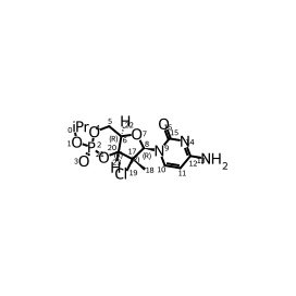 CC(C)OP1(=O)OC[C@H]2O[C@@H](n3ccc(N)nc3=O)[C@](C)(Cl)[C@@H]2O1